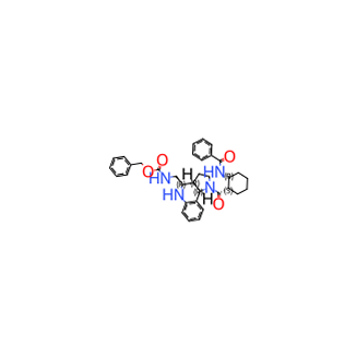 O=C(NC[C@@H]1Nc2ccccc2[C@H]2[C@@H]1CCN2C(=O)[C@H]1CCCC[C@H]1NC(=O)c1ccccc1)OCc1ccccc1